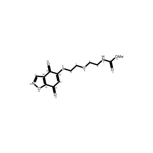 COC(=O)NCCOCCSC1=CC(=O)c2oncc2C1=O